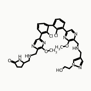 COc1nc(-c2cccc(-c3cccc(-c4cnc(CNCC5CCC(=O)N5)c(OC)n4)c3Cl)c2Cl)cnc1CNCc1cnn(CCO)c1